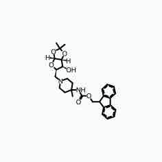 CC1(NC(=O)OCC2c3ccccc3-c3ccccc32)CCN(C[C@H]2O[C@@H]3OC(C)(C)O[C@@H]3[C@H]2O)CC1